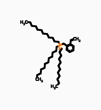 C=Cc1ccccc1C[PH](CCCCCCCCCCCC)(CCCCCCCCCCCC)CCCCCCCCCCCC